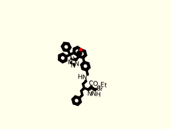 CCOC(=O)c1c(C(CCNCc2ccc(-c3ccccc3-c3nnnn3C(c3ccccc3)(c3ccccc3)c3ccccc3)cc2)CCc2ccccc2)n[nH]c1Br